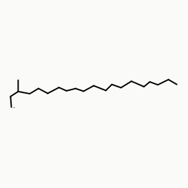 [CH2]CC(C)CCCCCCCCCCCCCCCCC